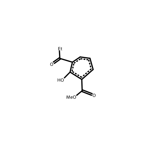 CCC(=O)c1cccc(C(=O)OC)c1O